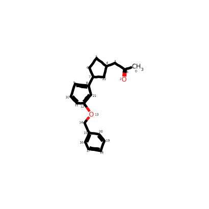 CC(=O)CC1CCC(c2cccc(OCc3ccccc3)c2)C1